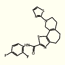 O=C(Nc1ccc(F)cc1F)c1nc2c(s1)C1=C(CCC2)CCN(c2nccs2)C1